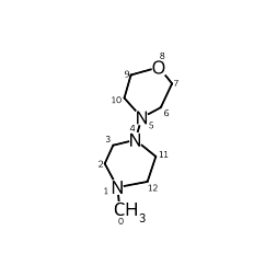 CN1CCN(N2CCOCC2)CC1